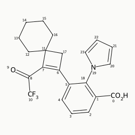 O=C(O)c1cccc(C2=C(C(=O)C(F)(F)F)C3(CCCCC3)C2)c1-n1cccc1